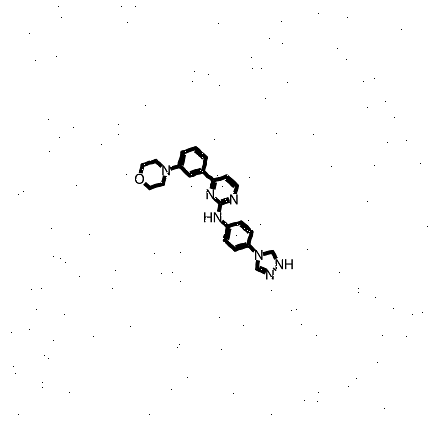 C1=NNCN1c1ccc(Nc2nccc(-c3cccc(N4CCOCC4)c3)n2)cc1